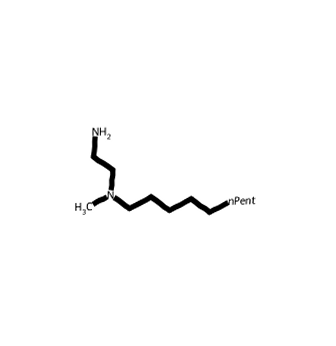 CCCCCCCCCCN(C)CCN